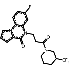 O=C(CCn1c(=O)c2cccn2c2ccc(F)cc21)N1CCCC(C(F)(F)F)C1